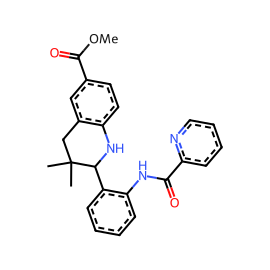 COC(=O)c1ccc2c(c1)CC(C)(C)C(c1ccccc1NC(=O)c1ccccn1)N2